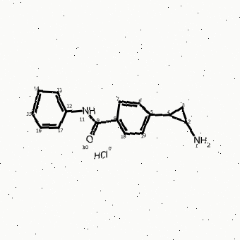 Cl.NC1CC1c1ccc(C(=O)Nc2ccccc2)cc1